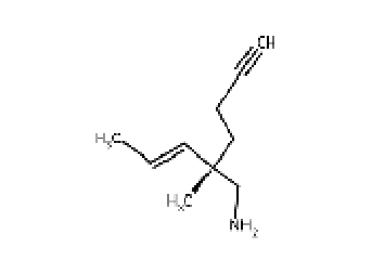 C#CCC[C@@](C)(C=CC)CN